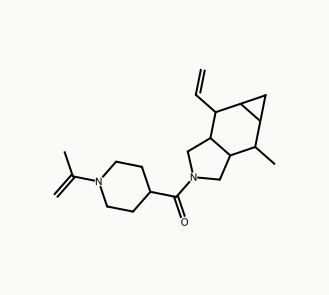 C=CC1C2CC2C(C)C2CN(C(=O)C3CCN(C(=C)C)CC3)CC12